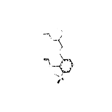 CCOC(COc1cccc(S(=O)(=O)Cl)c1NC=O)OC